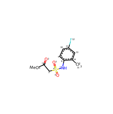 COC(=O)CS(=O)(=O)Nc1ccc(F)cc1C(F)(F)F